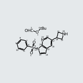 CC(C)(C)OC=O.O=S(=O)(c1ccccc1)n1ccc2cc(C3CNC3)cnc21